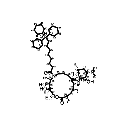 CC[C@H]1OC(=O)[C@H](C)C[C@H](C)[C@@H](O[C@@H]2O[C@H](C)C[C@H](N(C)C)[C@H]2O)[C@](C)(O)CCCN(C(=O)CCCCCCC[PH](C2CCCCC2)(C2CCCCC2)C2CCCCC2)[C@H](C)[C@@H](O)[C@]1(C)O